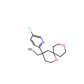 N#CCC1(c2ccc(F)cn2)CCOC2(CCOCC2)C1